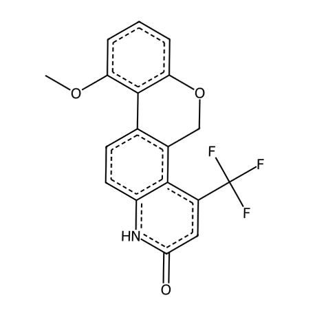 COc1cccc2c1-c1ccc3[nH]c(=O)cc(C(F)(F)F)c3c1CO2